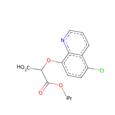 CC(C)OC(=O)C(Oc1ccc(Cl)c2cccnc12)C(=O)O